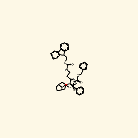 CC(C)c1nnc(CCNC(=O)OCC2c3ccccc3-c3ccccc32)n1C1CC2CCC(C1)N2CC[C@H](NC(=O)OCc1ccccc1)c1ccccc1